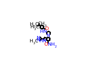 Cn1cc(-c2cc3c(N4CCCC(NC(=O)c5ccc(C(C)(C)C)cc5)C4)ccc(C(N)=O)c3[nH]2)cn1